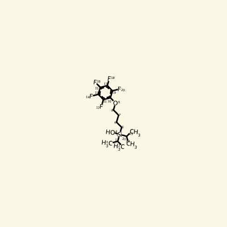 CC(C)[Si](O)(CCCCOc1c(F)c(F)c(F)c(F)c1F)C(C)C